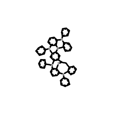 c1ccc(N2c3ccccc3CC3Sc4c2cccc4N(c2ccccc2)c2cc4c(cc23)B2c3ccccc3N(c3ccccc3)c3cccc(c32)N4c2ccccc2)cc1